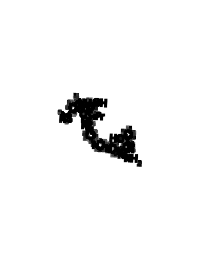 Cc1ncsc1-c1ccc([C@H](C)NC(=O)[C@@H]2C[C@@H](O)CN2C(=O)C(c2cc(N3CCC(CN4CCC(N5CCC(n6nc(N)c7nnc(-c8ccccc8O)cc76)CC5)CC4)CC3)no2)C(C)C)cc1